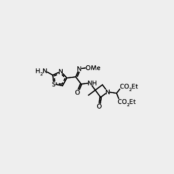 CCOC(=O)C(C(=O)OCC)N1CC(C)(NC(=O)C(=NOC)c2csc(N)n2)C1=O